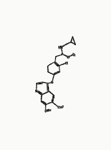 CCOP(Cc1ccc(Oc2ccnc3cc(OC)c(C=O)cc23)cc1Cl)NC1CC1